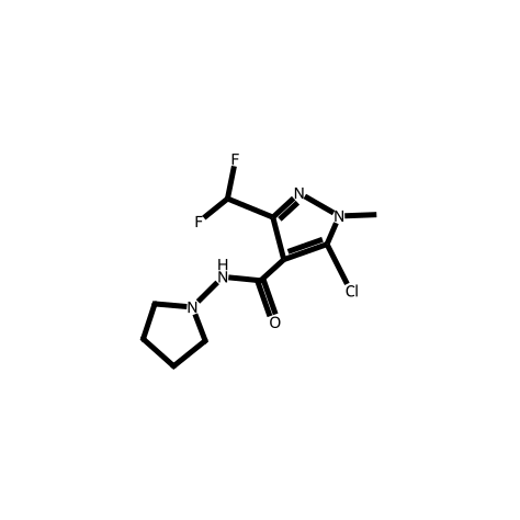 Cn1nc(C(F)F)c(C(=O)NN2CCCC2)c1Cl